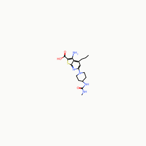 CCCc1cc(N2CCC(NC(=O)NC)CC2)nc2sc(C(=O)O)c(N)c12